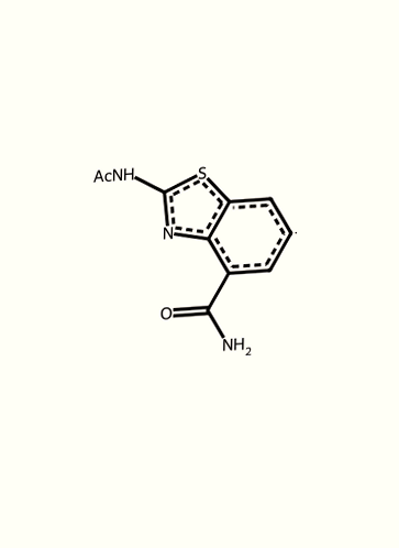 CC(=O)Nc1nc2c(C(N)=O)c[c]cc2s1